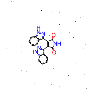 O=C1NC(=O)C(c2n[nH]c3ccccc23)=C1c1n[nH]c2ccccc12